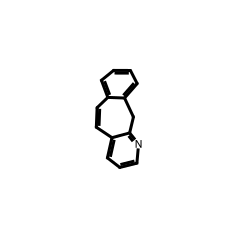 C1=Cc2cccnc2Cc2ccccc21